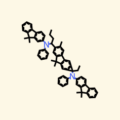 CCCC(c1cc2c(cc1C)-c1cc3c(cc1C2(C)C)C3(CC)N(c1ccccc1)c1ccc2c(c1)C(C)(C)c1ccccc1-2)N(c1ccccc1)c1ccc2c(c1)C(C)(C)c1ccccc1-2